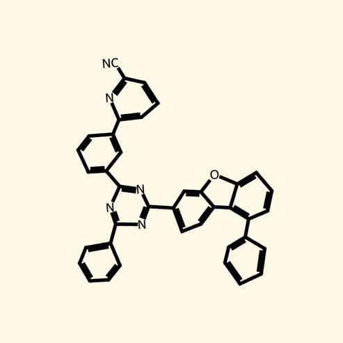 N#Cc1cccc(-c2cccc(-c3nc(-c4ccccc4)nc(-c4ccc5c(c4)oc4cccc(-c6ccccc6)c45)n3)c2)n1